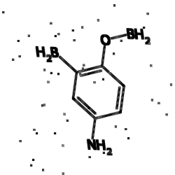 BOc1ccc(N)cc1B